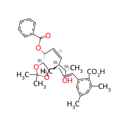 Cc1cc(C)c(C(=O)O)c(/C=C/C[C@@H]2OC(C)(C)O[C@@H]2C(/C=C\[C@H](C)[C@H](C)O)OC(=O)c2ccccc2)c1